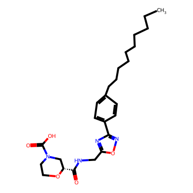 CCCCCCCCCCc1ccc(-c2noc(CNC(=O)[C@H]3CN(C(=O)O)CCO3)n2)cc1